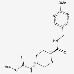 COc1ncc(CNC(=O)[C@@H]2CC[C@@H](NC(=O)OC(C)(C)C)CO2)cn1